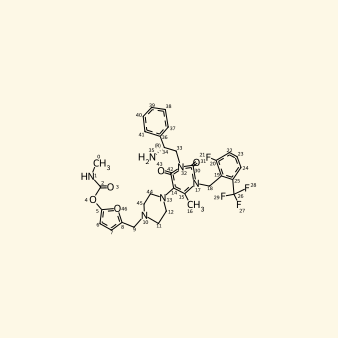 CNC(=O)Oc1ccc(CN2CCN(c3c(C)n(Cc4c(F)cccc4C(F)(F)F)c(=O)n(C[C@H](N)c4ccccc4)c3=O)CC2)o1